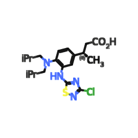 CC(C)CN(CC(C)C)c1ccc([C@H](C)CC(=O)O)cc1Nc1nc(Cl)ns1